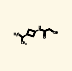 CC(C)[C@H]1C[C@H](NC(=O)CO)C1